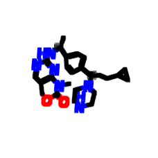 C[C@H](Nc1ncc2c(n1)N(C)C(=O)OC2)c1ccc([C@@H](CCC2CC2)N2CCNCC2)cc1